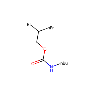 CCCCNC(=O)OCC(CC)CCC